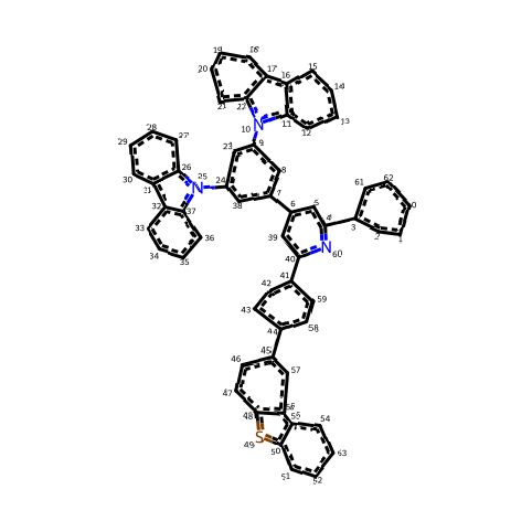 c1ccc(-c2cc(-c3cc(-n4c5ccccc5c5ccccc54)cc(-n4c5ccccc5c5ccccc54)c3)cc(-c3ccc(-c4ccc5sc6ccccc6c5c4)cc3)n2)cc1